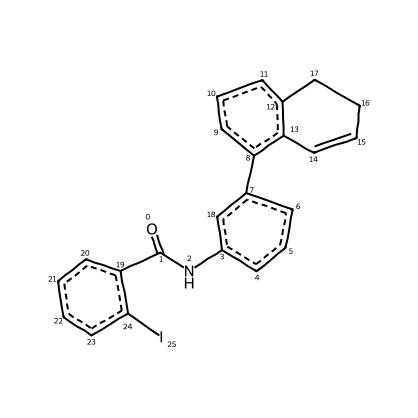 O=C(Nc1cccc(-c2cccc3c2C=CCC3)c1)c1ccccc1I